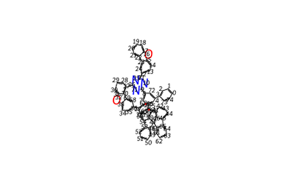 c1ccc(-c2cccc(-c3nc(-c4ccc5oc6ccccc6c5c4)nc(-c4cccc5oc6ccc(-c7ccc(-c8cccc9c8C8(c%10ccccc%10-c%10ccccc%108)c8ccccc8-9)cc7)cc6c45)n3)c2)cc1